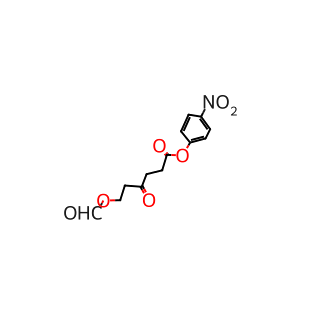 O=COCCC(=O)CCC(=O)Oc1ccc([N+](=O)[O-])cc1